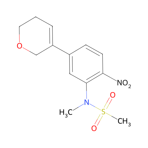 CN(c1cc(C2=CCCOC2)ccc1[N+](=O)[O-])S(C)(=O)=O